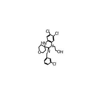 OCCN1/C(=N/Cc2cccc(Cl)c2)C2(CCOCC2)Nc2cc(Cl)c(Cl)cc21